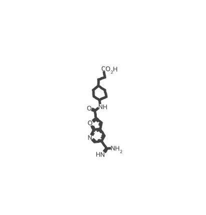 N=C(N)c1cnc2oc(C(=O)NC3CCC(CCC(=O)O)CC3)cc2c1